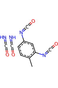 Cc1ccc(N=C=O)cc1N=C=O.N=C=O.N=C=O